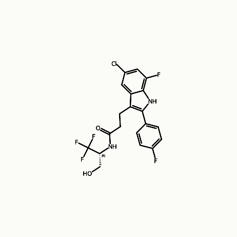 O=C(CCc1c(-c2ccc(F)cc2)[nH]c2c(F)cc(Cl)cc12)N[C@H](CO)C(F)(F)F